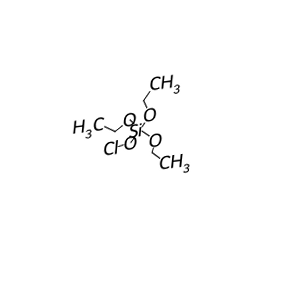 CCO[Si](OCl)(OCC)OCC